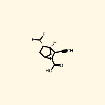 C#CC1[C@H]2CC(C[C@@H]2C(F)F)N1C(=O)O